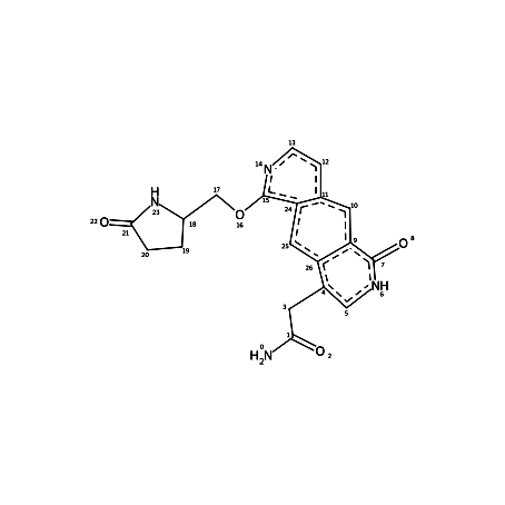 NC(=O)Cc1c[nH]c(=O)c2cc3ccnc(OCC4CCC(=O)N4)c3cc12